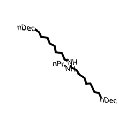 CCCCCCCCCCCCCCCCCCNCCCCCCCCCCCCCCCCCC.CCCN